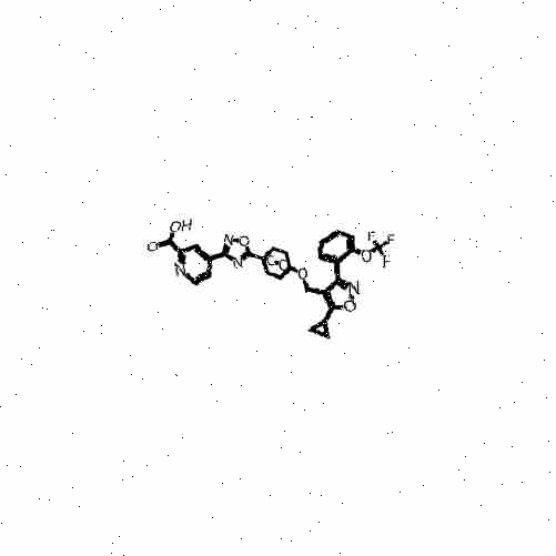 O=C(O)c1cc(-c2noc(C34CCC(OCc5c(-c6ccccc6OC(F)(F)F)noc5C5CC5)(CC3)CC4)n2)ccn1